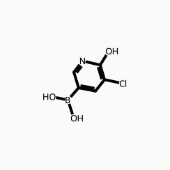 OB(O)c1cnc(O)c(Cl)c1